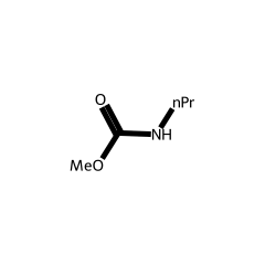 [CH2]CCNC(=O)OC